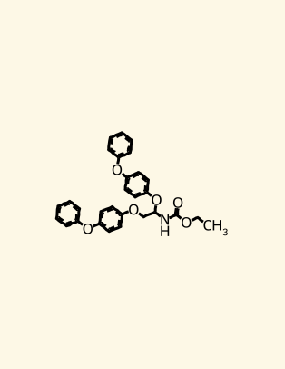 CCOC(=O)NC(COc1ccc(Oc2ccccc2)cc1)Oc1ccc(Oc2ccccc2)cc1